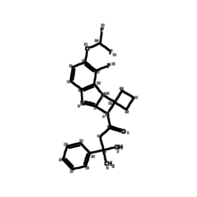 CC(O)(CC(=O)N1c2nc3ccc(OC(F)F)c(F)c3n2C12CCC2)c1ccccc1